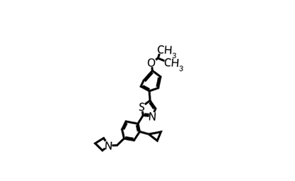 CC(C)Oc1ccc(-c2cnc(-c3ccc(CN4CCC4)cc3C3CC3)s2)cc1